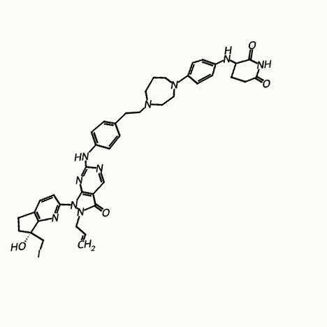 C=CCn1c(=O)c2cnc(Nc3ccc(CCN4CCCN(c5ccc(NC6CCC(=O)NC6=O)cc5)CC4)cc3)nc2n1-c1ccc2c(n1)[C@@](O)(CI)CC2